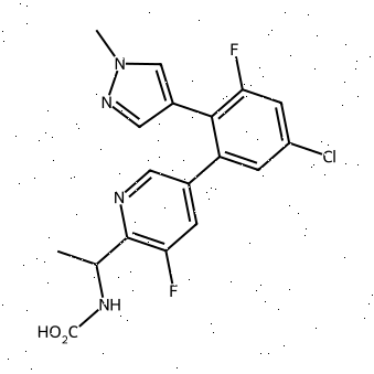 CC(NC(=O)O)c1ncc(-c2cc(Cl)cc(F)c2-c2cnn(C)c2)cc1F